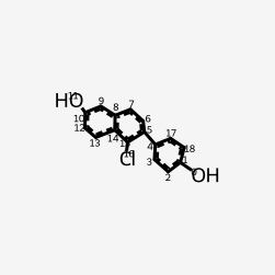 Oc1ccc(-c2ccc3cc(O)ccc3c2Cl)cc1